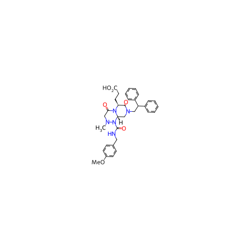 COc1ccc(CNC(=O)N2[C@H]3CN(CC(c4ccccc4)c4ccccc4)C(=O)[C@H](CCC(=O)O)N3C(=O)CN2C)cc1